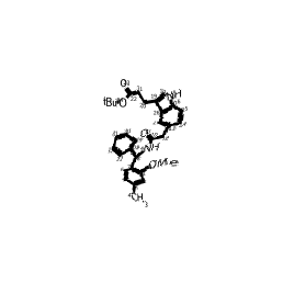 COc1cc(C)ccc1C(NC(=O)Cc1ccc2[nH]cc(CCC(=O)OC(C)(C)C)c2c1)c1ccccc1